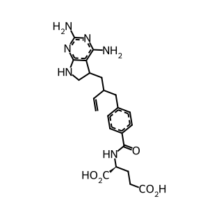 C=CC(Cc1ccc(C(=O)N[C@@H](CCC(=O)O)C(=O)O)cc1)CC1CNc2nc(N)nc(N)c21